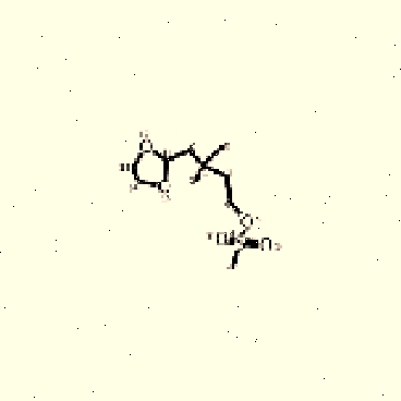 CC(C)(CCOS(C)(=O)=O)CC1OCCO1